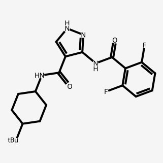 CC(C)(C)C1CCC(NC(=O)c2c[nH]nc2NC(=O)c2c(F)cccc2F)CC1